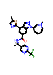 Cc1cnc(-c2cc(C(=O)N[C@H](C)c3cnc(C(F)(F)F)nc3)cc3c2cnn3C2=CN(C)C=CC=C2)s1